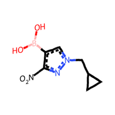 O=[N+]([O-])c1nn(CC2CC2)cc1B(O)O